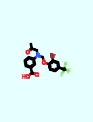 CC(=O)CN(COc1ccc(C(F)(F)F)cc1Br)c1cccc(C(=O)O)c1